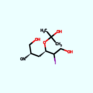 CC(C)(O)O[C@@H](C[C@@H](CO)N=O)C(I)CO